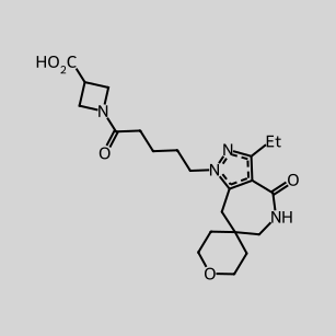 CCc1nn(CCCCC(=O)N2CC(C(=O)O)C2)c2c1C(=O)NCC1(CCOCC1)C2